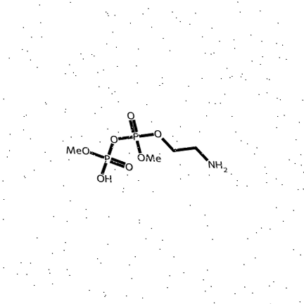 COP(=O)(O)OP(=O)(OC)OCCN